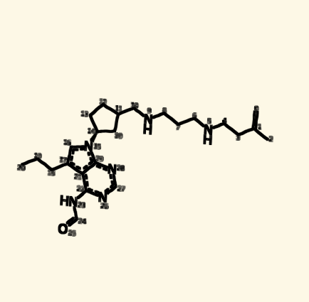 C=C(C)CCNCCCNCC1CC[C@H](n2cc(CCC)c3c(NC=O)ncnc32)C1